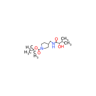 CC(C)C(O)C(=O)NCC1CCN(C(=O)OC(C)(C)C)CC1